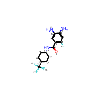 Nc1cc(F)c(C(=O)N[C@H]2CC[C@H](C(F)(F)F)CC2)cc1N